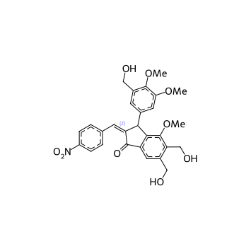 COc1cc(C2/C(=C/c3ccc([N+](=O)[O-])cc3)C(=O)c3cc(CO)c(CO)c(OC)c32)cc(CO)c1OC